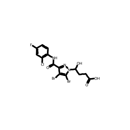 O=C(O)CCC(O)n1nc(C(=O)Nc2ccc(F)cc2Cl)c(Br)c1Br